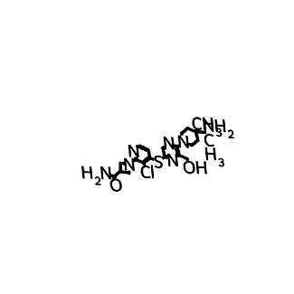 CC(N)C1(C)CCN(c2ncc(Sc3ccnc(N4CC(C(N)=O)C4)c3Cl)nc2CO)CC1